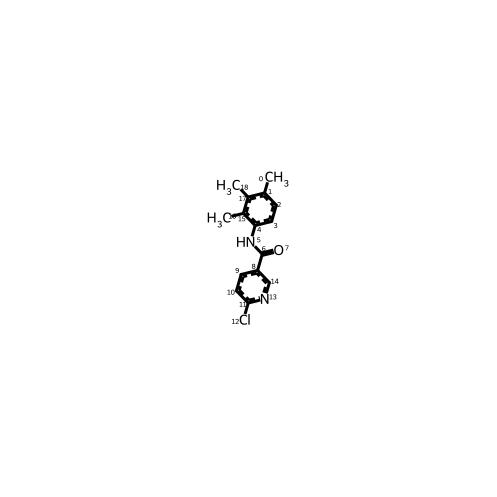 Cc1ccc(NC(=O)c2ccc(Cl)nc2)c(C)c1C